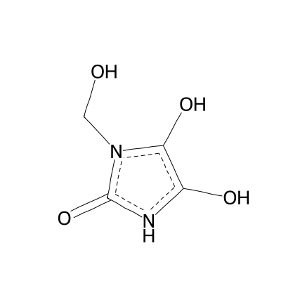 O=c1[nH]c(O)c(O)n1CO